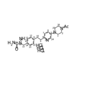 CC(=O)N1CCN(c2ccc(CCc3ccc(CN(N)C(N)=O)cc3)nc2)CC1.Cl.Cl.Cl